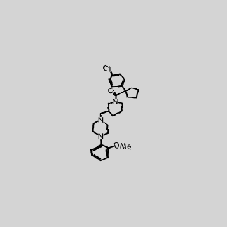 COc1ccccc1N1CCN(CC2CCCN(C(=O)C3(c4ccc(Cl)cc4)CCCC3)C2)CC1